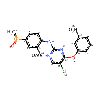 C=P(=O)c1ccc(Nc2ncc(Cl)c(Oc3cccc([N+](=O)[O-])c3)n2)c(OC)c1